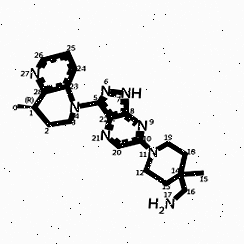 C[C@@H]1CCN(c2n[nH]c3nc(N4CCC(C)(CN)CC4)cnc23)c2cccnc21